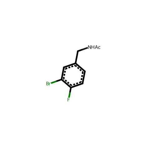 CC(=O)NCc1ccc(F)c(Br)c1